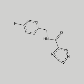 O=C(NCc1ccc(F)cc1)c1nccnn1